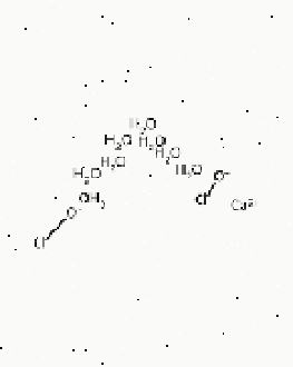 O.O.O.O.O.O.O.O.[Ca+2].[O-]Cl.[O-]Cl